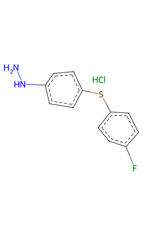 Cl.NNc1ccc(Sc2ccc(F)cc2)cc1